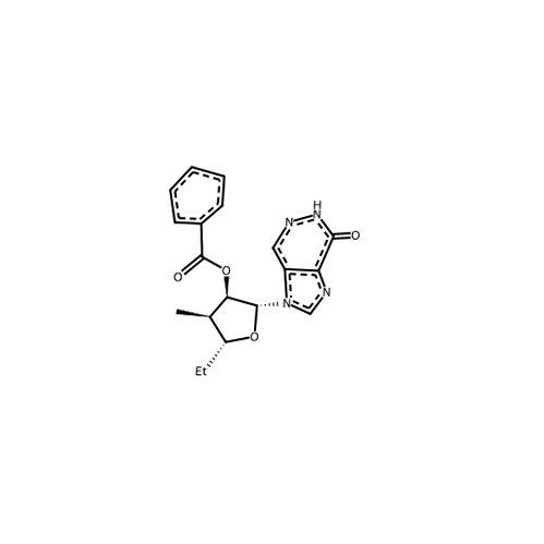 CC[C@H]1O[C@@H](n2cnc3c(=O)[nH]ncc32)[C@H](OC(=O)c2ccccc2)[C@@H]1C